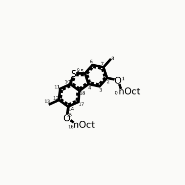 CCCCCCCCOc1cc2c(cc1C)sc1cc(C)c(OCCCCCCCC)cc12